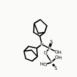 OP(O)(=S)OP(O)(=S)N(C1CC2CCC1C2)C1CC2CCC1C2